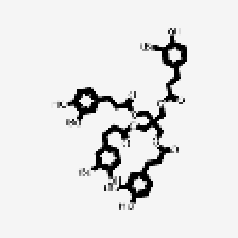 CC(C)(C)c1cc(CCC(=O)OCC(COC(=O)CCc2ccc(O)c(C(C)(C)C)c2)(COC(=O)CCc2ccc(O)c(C(C)(C)C)c2)COC(=O)CCc2ccc(O)c(C(C)(C)C)c2)ccc1O